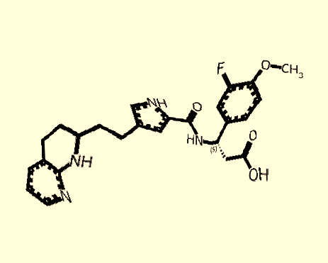 COc1ccc([C@H](CC(=O)O)NC(=O)c2cc(CCC3CCc4cccnc4N3)c[nH]2)cc1F